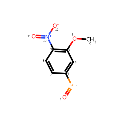 COc1cc(P=O)ccc1[N+](=O)[O-]